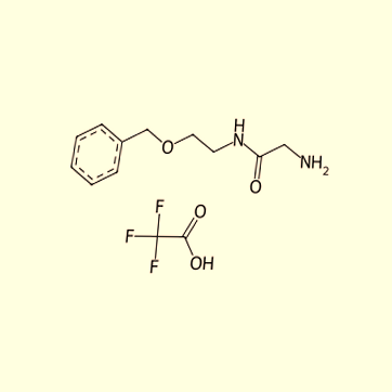 NCC(=O)NCCOCc1ccccc1.O=C(O)C(F)(F)F